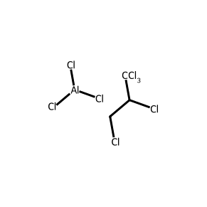 ClCC(Cl)C(Cl)(Cl)Cl.[Cl][Al]([Cl])[Cl]